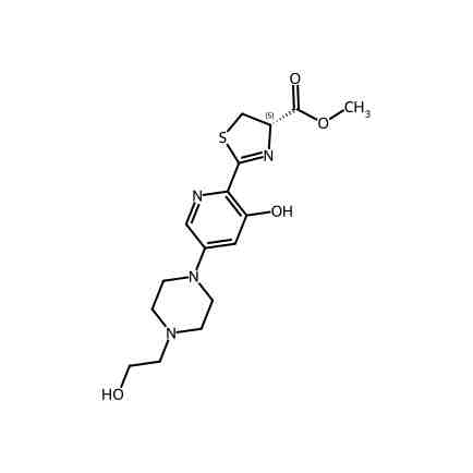 COC(=O)[C@H]1CSC(c2ncc(N3CCN(CCO)CC3)cc2O)=N1